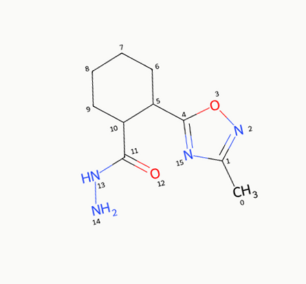 Cc1noc(C2CCCCC2C(=O)NN)n1